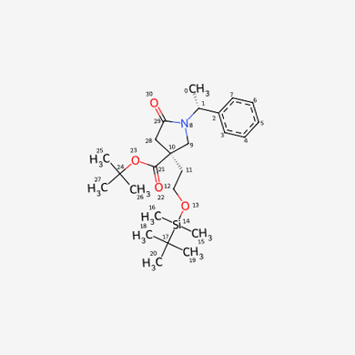 C[C@H](c1ccccc1)N1C[C@@](CCO[Si](C)(C)C(C)(C)C)(C(=O)OC(C)(C)C)CC1=O